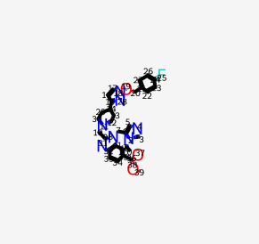 CCn1cncc1Cn1c(CN2CCC(c3ccn(OCc4ccc(F)cc4)n3)CC2)nc2ccc(C(=O)OC)cc21